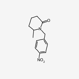 CC1CCCC(=O)N1Cc1ccc([N+](=O)[O-])cc1